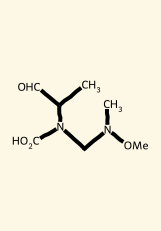 CON(C)CN(C(=O)O)C(C)C=O